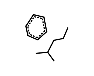 CCCC(C)C.c1ccccc1